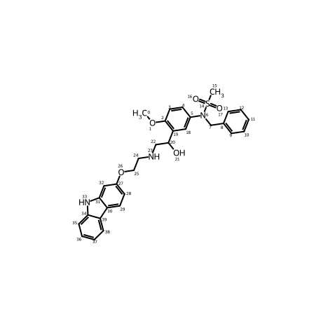 COc1ccc(N(Cc2ccccc2)S(C)(=O)=O)cc1C(O)CNCCOc1ccc2c(c1)[nH]c1ccccc12